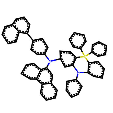 c1ccc(N2c3ccccc3S(c3ccccc3)(c3ccccc3)c3ccc(N(c4ccc(-c5cccc6ccccc56)cc4)c4cc5ccccc5c5ccccc45)cc32)cc1